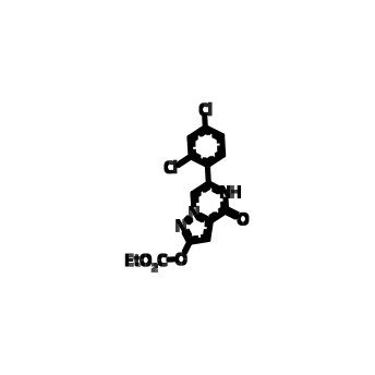 CCOC(=O)Oc1cc2c(=O)[nH]c(-c3ccc(Cl)cc3Cl)cn2n1